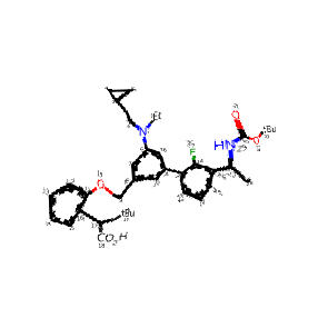 CCN(CC1CC1)c1cc(COc2ccccc2C(C(=O)O)C(C)(C)C)cc(-c2cccc(C(C)NC(=O)OC(C)(C)C)c2F)c1